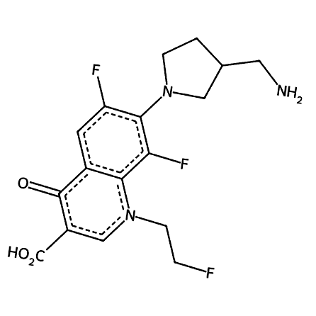 NCC1CCN(c2c(F)cc3c(=O)c(C(=O)O)cn(CCF)c3c2F)C1